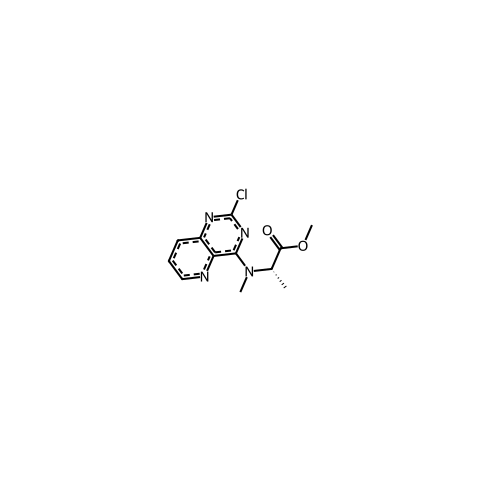 COC(=O)[C@H](C)N(C)c1nc(Cl)nc2cccnc12